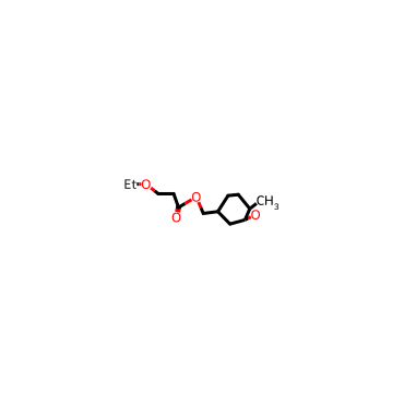 CCOCCC(=O)OCC1CCC2(C)OC2C1